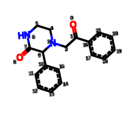 O=C(CN1CCNC(=O)C1c1ccccc1)c1ccccc1